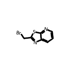 BrCc1nc2cccnc2s1